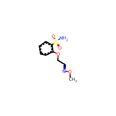 CO/N=C/COc1ccccc1S(N)(=O)=O